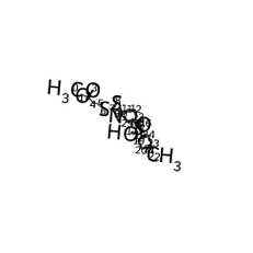 COC(=O)CCSC(=S)Nc1cccc(S(=O)(=O)c2ccc(C)cc2)c1